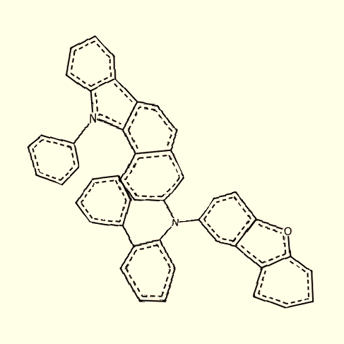 c1ccc(-c2ccccc2N(c2ccc3c(ccc4c5ccccc5n(-c5ccccc5)c34)c2)c2ccc3oc4ccccc4c3c2)cc1